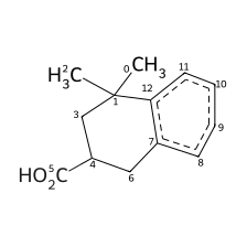 CC1(C)CC(C(=O)O)Cc2ccccc21